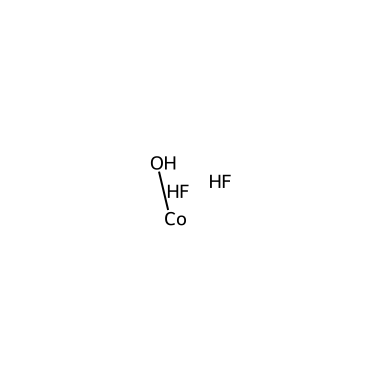 F.F.[OH][Co]